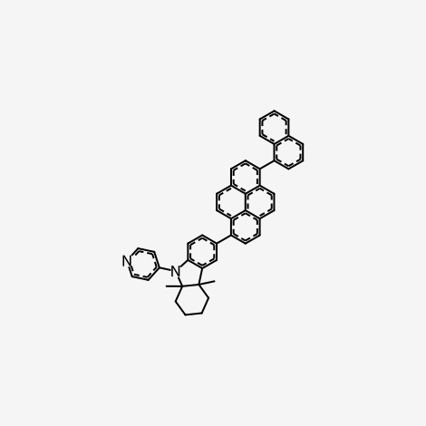 CC12CCCCC1(C)N(c1ccncc1)c1ccc(-c3ccc4ccc5c(-c6cccc7ccccc67)ccc6ccc3c4c65)cc12